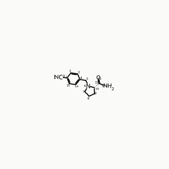 N#Cc1ccc(CN2CCC[C@H]2C(N)=O)cc1